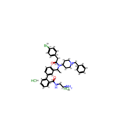 CC(c1cccc(-c2ccccc2C(=O)NCCN)c1)N(C(=O)Cc1ccc(Br)cc1)C1CCN(Cc2ccccc2)CC1.Cl.Cl